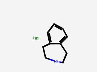 Cl.c1ccc2c(c1)CCNCC2